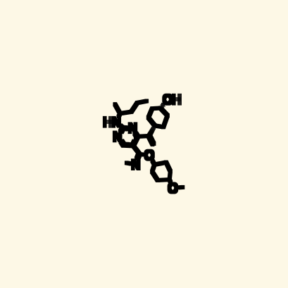 C=C(c1nc(NC(C)CCC)ncc1/C(=N\C)OC1CCC(OC)CC1)[C@H]1CC[C@H](O)CC1